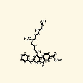 C#CCNCCCN(C)CCCNc1nc(Cc2ccccc2)nc2[nH]c3cc(C(=O)OC)ccc3c12